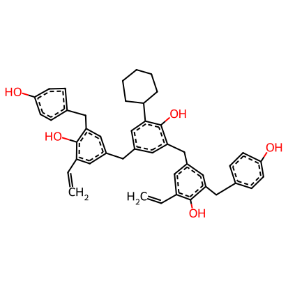 C=Cc1cc(Cc2cc(Cc3cc(C=C)c(O)c(Cc4ccc(O)cc4)c3)c(O)c(C3CCCCC3)c2)cc(Cc2ccc(O)cc2)c1O